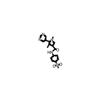 Cc1c(C(=O)Nc2ccc(S(C)(=O)=O)cc2)cn(C)c1-c1cncnc1